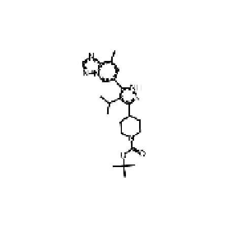 Cc1cc(-c2[nH]nc(C3CCN(C(=O)OC(C)(C)C)CC3)c2C(C)C)cn2ncnc12